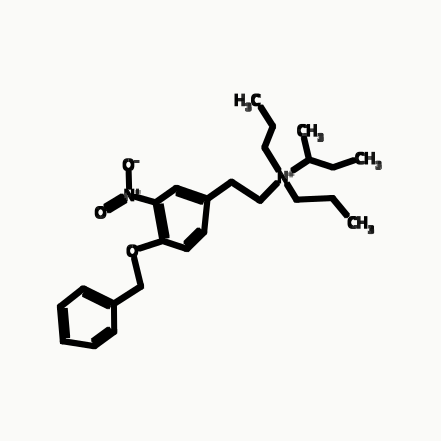 CCC[N+](CCC)(CCc1ccc(OCc2ccccc2)c([N+](=O)[O-])c1)C(C)CC